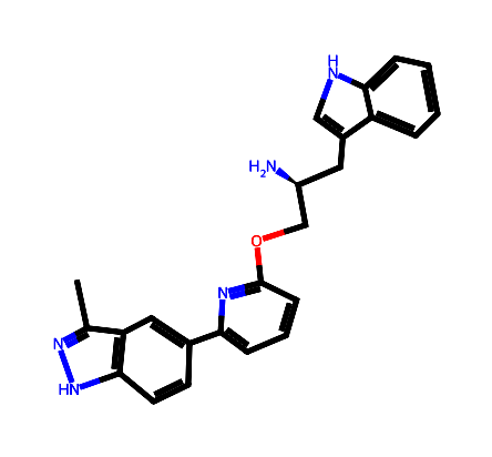 Cc1n[nH]c2ccc(-c3cccc(OC[C@@H](N)Cc4c[nH]c5ccccc45)n3)cc12